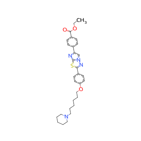 CCOC(=O)c1ccc(-c2cn3nc(-c4ccc(OCCCCCCN5CCCCC5)cc4)sc3n2)cc1